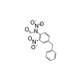 O=CN(c1ccc(Cc2ccccc2)cc1[N+](=O)[O-])[N+](=O)[O-]